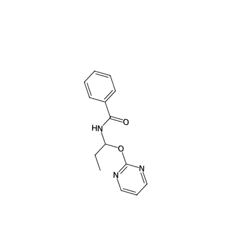 CCC(NC(=O)c1ccccc1)Oc1ncccn1